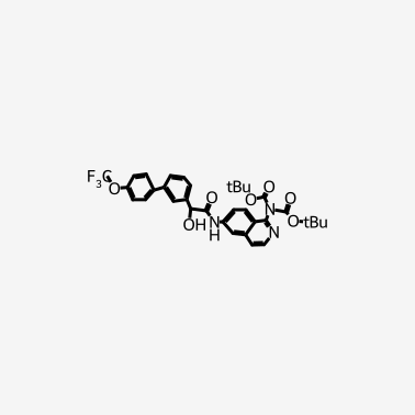 CC(C)(C)OC(=O)N(C(=O)OC(C)(C)C)c1nccc2cc(NC(=O)C(O)c3cccc(-c4ccc(OC(F)(F)F)cc4)c3)ccc12